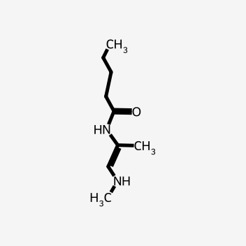 CCCCC(=O)N/C(C)=C/NC